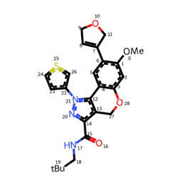 COc1cc2c(cc1C1=CCOC1)-c1c(c(C(=O)NCC(C)(C)C)nn1-c1ccsc1)CO2